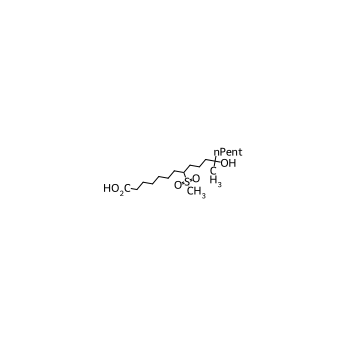 CCCCCC(C)(O)CCCC(CCCCCCC(=O)O)S(C)(=O)=O